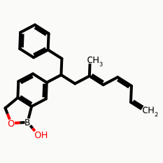 C=C/C=C\C=C(/C)CC(Cc1ccccc1)c1ccc2c(c1)B(O)OC2